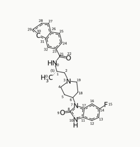 C[C@@H](CN1CCC(n2c(=O)[nH]c3ccc(F)cc32)CC1)NC(=O)c1ccc2ccccc2c1